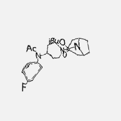 CC(=O)N(c1ccc(F)cc1)C1CCN(C2CC3CCC(C2)N3C(=O)OCC(C)C)CC1